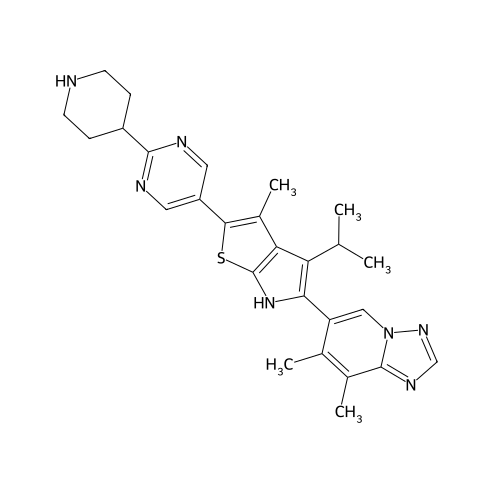 Cc1c(-c2[nH]c3sc(-c4cnc(C5CCNCC5)nc4)c(C)c3c2C(C)C)cn2ncnc2c1C